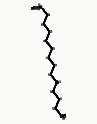 CCCCCCCCCCCCCCCOCCCO